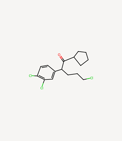 O=C(C1CCCC1)C(CCCCl)c1ccc(Cl)c(Cl)c1